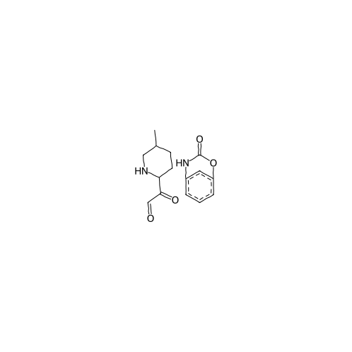 CC1CCC(C(=O)C=O)NC1.O=C1Nc2cccc(c2)O1